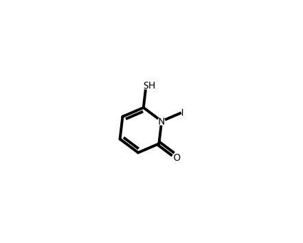 O=c1cccc(S)n1I